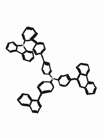 c1ccc(-n2c3ccccc3c3ccccc32)c(-c2ccc(-c3ccc(N(c4ccc(-c5cccc6ccccc56)cc4)c4ccc(-c5cc6ccccc6c6ccccc56)cc4)cc3)cc2)c1